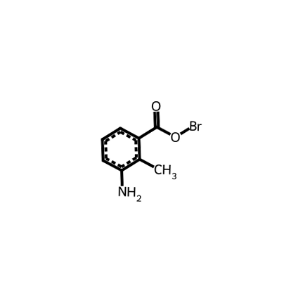 Cc1c(N)cccc1C(=O)OBr